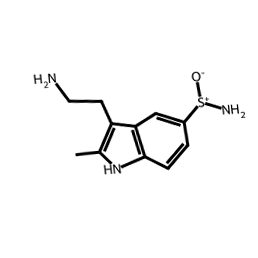 Cc1[nH]c2ccc([S+](N)[O-])cc2c1CCN